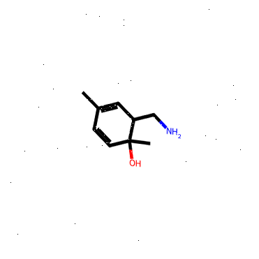 CC1=CC(CN)C(C)(O)C=C1